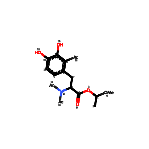 COC(C)OC(=O)C(Cc1ccc(O)c(O)c1C(C)=O)N(C(C)=O)C(C)=O